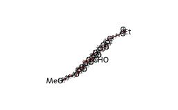 CCC(=O)OCCCCCCOc1ccc(C(=O)O[C@H]2CC[C@H](C(=O)Oc3ccc(C(=O)O[C@H]4CC[C@H](C(=O)Oc5ccc(OCCCCCCCCOC)cc5)CC4)c(C=O)c3)CC2)cc1